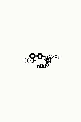 CCCCOc1nc(OCCCC)n(Cc2ccc(-c3ccccc3C(=O)O)cc2)n1